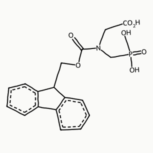 O=C(O)CN(CP(=O)(O)O)C(=O)OCC1c2ccccc2-c2ccccc21